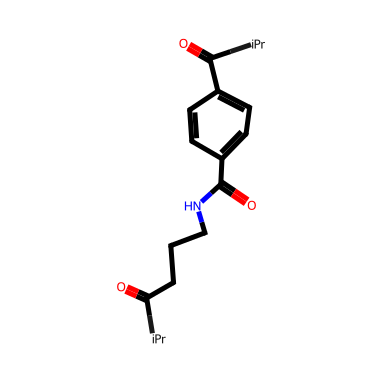 CC(C)C(=O)CCCNC(=O)c1ccc(C(=O)C(C)C)cc1